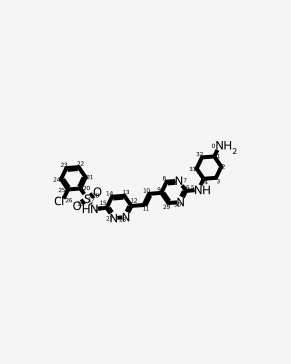 NC1CCC(Nc2ncc(/C=C/c3ccc(NS(=O)(=O)c4ccccc4Cl)nn3)cn2)CC1